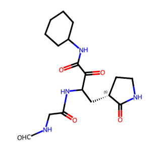 O=CNCC(=O)NC(C[C@@H]1CCNC1=O)C(=O)C(=O)NC1CCCCC1